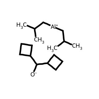 CC(C)[CH2][Al+][CH2]C(C)C.[O-]C(C1CCC1)C1CCC1